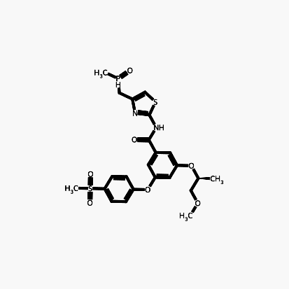 COC[C@H](C)Oc1cc(Oc2ccc(S(C)(=O)=O)cc2)cc(C(=O)Nc2nc(C[PH](C)=O)cs2)c1